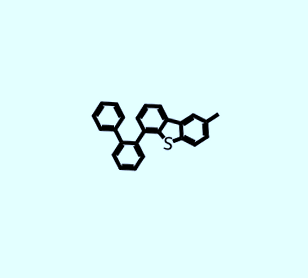 Cc1ccc2sc3c(-c4ccccc4-c4ccccc4)cccc3c2c1